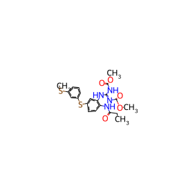 CCC(=O)Nc1ccc(Sc2cccc(SC)c2)cc1NC(=NC(=O)OC)NC(=O)OC